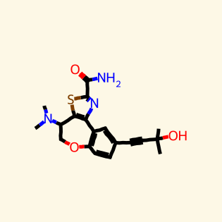 CN(C)C1COc2ccc(C#CC(C)(C)O)cc2-c2nc(C(N)=O)sc21